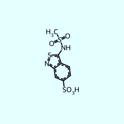 CS(=O)(=O)Nc1snc2cc(S(=O)(=O)O)ccc12